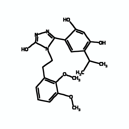 COc1cccc(CCn2c(O)nnc2-c2cc(C(C)C)c(O)cc2O)c1OC